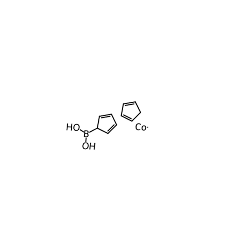 C1=CCC=C1.OB(O)C1C=CC=C1.[Co]